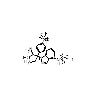 CCC(c1ccc(S(F)(F)(F)(F)F)cc1)(C(N)O)n1ncc2c(NS(C)(=O)=O)cccc21